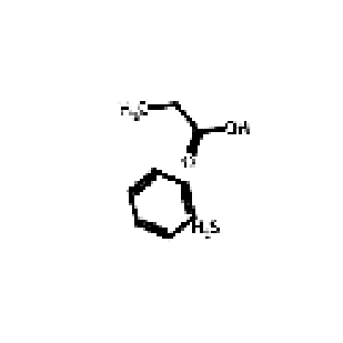 CCC(=O)O.S.c1ccccc1